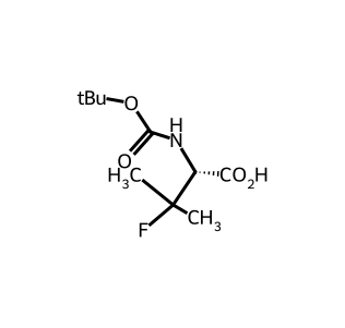 CC(C)(C)OC(=O)N[C@H](C(=O)O)C(C)(C)F